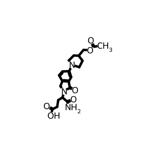 CC(=O)OCC1CCN(c2ccc3c(c2)C(=O)N(C(CCC(=O)O)C(N)=O)C3)CC1